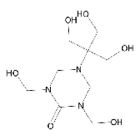 O=C1N(CO)CN(C(CO)(CO)CO)CN1CO